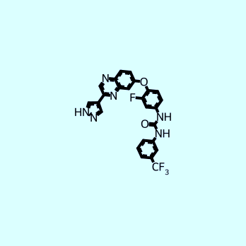 O=C(Nc1cccc(C(F)(F)F)c1)Nc1ccc(Oc2ccc3ncc(-c4cn[nH]c4)nc3c2)c(F)c1